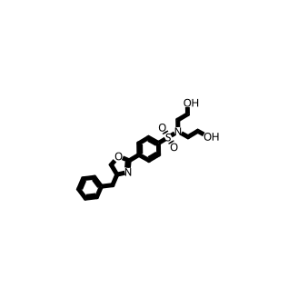 O=S(=O)(c1ccc(C2=NC(Cc3ccccc3)CO2)cc1)N(CCO)CCO